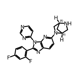 Fc1ccc(-c2nc3ccc(N4C[C@H]5C[C@@H]4CN5)nc3n2-c2ccncn2)c(F)c1